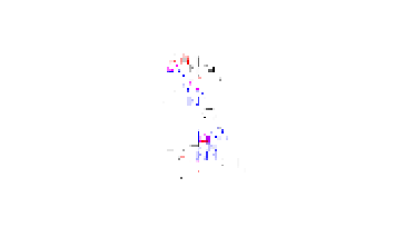 COC(=O)N[C@H](C(=O)N1C[C@@H](C)C[C@H]1c1ncc(-c2ccc(-c3cnc([C@@H]4C[C@H](C)CN4C(=O)[C@H](NC(=O)OC)C(C)C)[nH]3)cc2)[nH]1)C(C)C